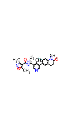 Cc1noc(C)c1C(=O)NC(C)c1cncc(-c2cc3c(cc2F)N(C)C(=O)CC3)c1C